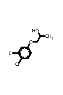 [CH2]C(O)COc1ccc(Cl)c(Cl)c1